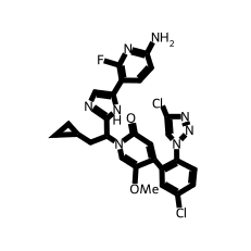 COc1cn(C(CC2CC2)c2ncc(-c3ccc(N)nc3F)[nH]2)c(=O)cc1-c1cc(Cl)ccc1-n1cc(Cl)nn1